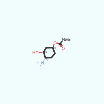 CNC(=O)O[C@H]1CC[C@H](N)[C@@H](O)C1